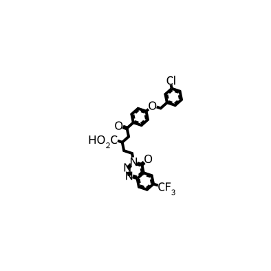 O=C(CC(CCn1nnc2ccc(C(F)(F)F)cc2c1=O)C(=O)O)c1ccc(OCc2cccc(Cl)c2)cc1